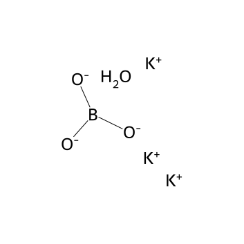 O.[K+].[K+].[K+].[O-]B([O-])[O-]